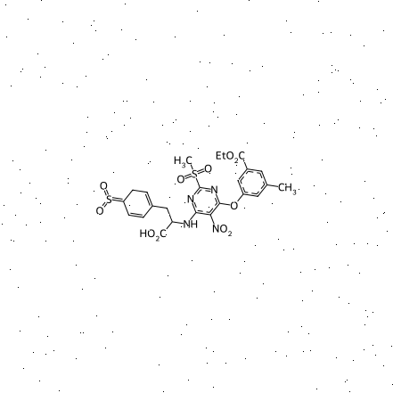 CCOC(=O)c1cc(C)cc(Oc2nc(S(C)(=O)=O)nc(NC(CC3=CCC(=S(=O)=O)C=C3)C(=O)O)c2[N+](=O)[O-])c1